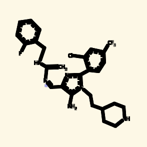 C=C(/N=C\c1nc(-c2ccc(C(F)(F)F)cc2Cl)n(CCC2CCNCC2)c1N)NCc1ccccc1F